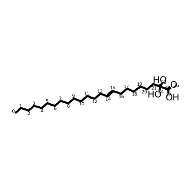 CCCCCCCCCCCCCCC=CCCCCCCC(O)(O)C(=O)O